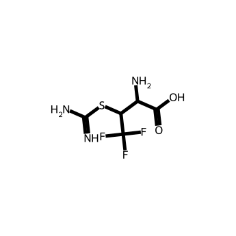 N=C(N)SC(C(N)C(=O)O)C(F)(F)F